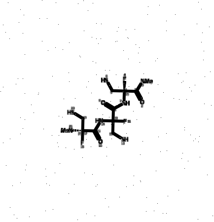 CNC(=O)[C@@](F)(CS)NC(=O)C(F)(CS)NC(=O)[C@@](F)(CS)NC